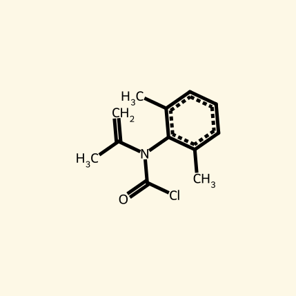 C=C(C)N(C(=O)Cl)c1c(C)cccc1C